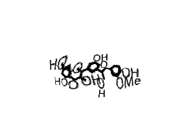 COc1cc(C2Oc3c(O)cc(C4Oc5cc(O)cc(O)c5C(=O)C4O)cc3C2CO)ccc1O